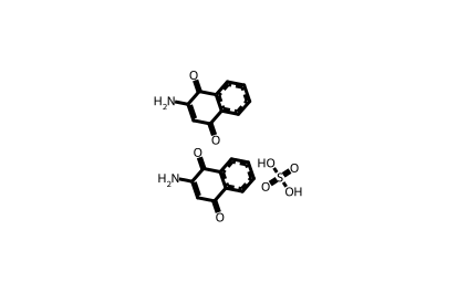 NC1=CC(=O)c2ccccc2C1=O.NC1=CC(=O)c2ccccc2C1=O.O=S(=O)(O)O